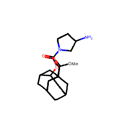 COC(=O)C12CC3CC(C1)C(OC(=O)N1CCC(N)C1)C(C3)C2